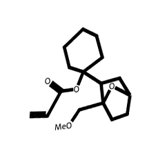 C=CC(=O)OC1(C2CC3CCC2(COC)O3)CCCCC1